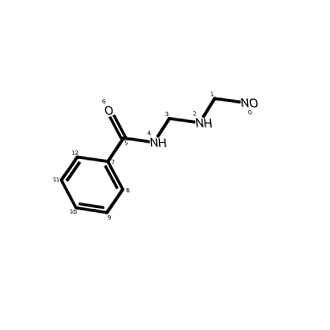 O=NCNCNC(=O)c1ccccc1